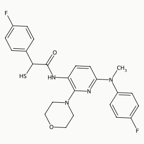 CN(c1ccc(F)cc1)c1ccc(NC(=O)C(S)c2ccc(F)cc2)c(N2CCOCC2)n1